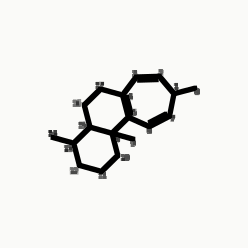 CC1C=CC2=C(C=C1)C1(C)CCCC(C)C1CC2